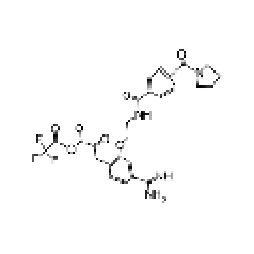 N=C(N)c1ccc(CC(=O)C(=O)OC(=O)C(F)(F)F)c(OCCNC(=O)c2ccc(C(=O)N3CCCC3)cc2)c1